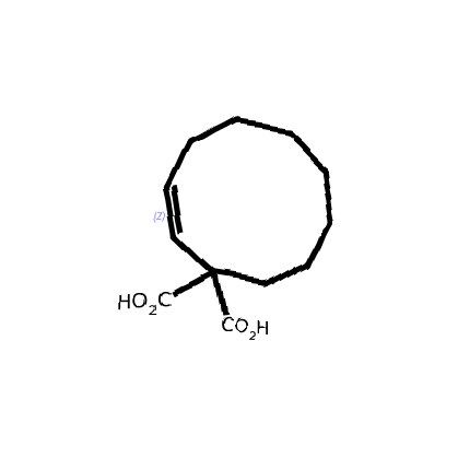 O=C(O)C1(C(=O)O)/C=C\CCCCCCC1